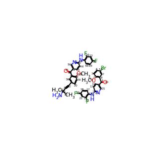 COc1ccc(Br)cc1C(=O)c1ccc(Nc2ccc(F)cc2F)nc1.COc1ccc(C#CC(C)(C)N)cc1C(=O)c1ccc(Nc2ccc(F)cc2F)nc1